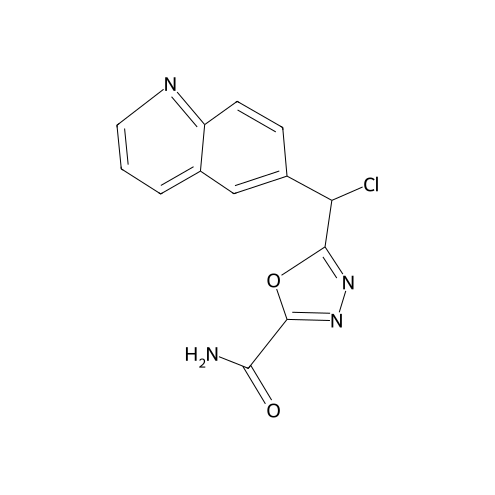 NC(=O)c1nnc(C(Cl)c2ccc3ncccc3c2)o1